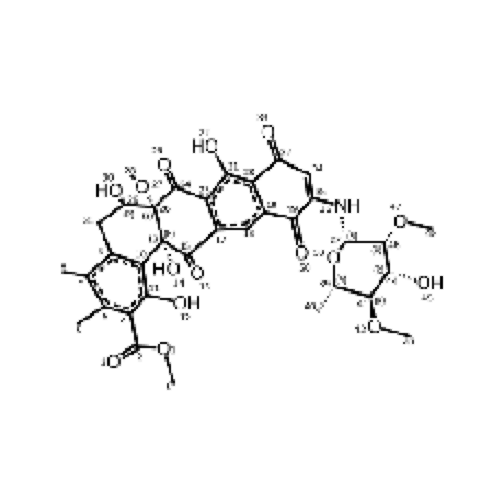 COC(=O)c1c(C)c(C)c2c(c1O)[C@]1(O)C(=O)c3cc4c(c(O)c3C(=O)[C@]1(OC)[C@H](O)C2)C(=O)C=C(N[C@H]1O[C@@H](C)[C@H](OC)[C@@H](O)[C@H]1OC)C4=O